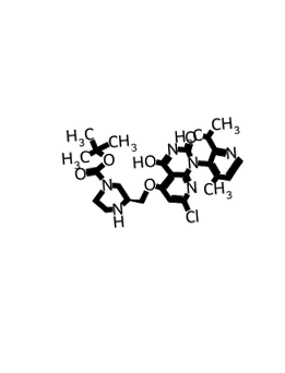 Cc1ccnc(C(C)C)c1-n1c(=O)nc(O)c2c(OC[C@@H]3CN(C(=O)OC(C)(C)C)CCN3)cc(Cl)nc21